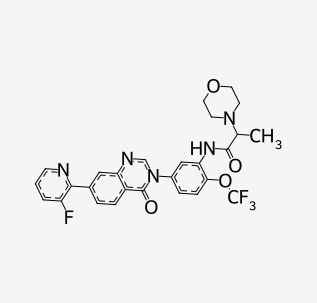 CC(C(=O)Nc1cc(-n2cnc3cc(-c4ncccc4F)ccc3c2=O)ccc1OC(F)(F)F)N1CCOCC1